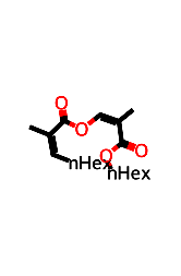 CCCCCCC=C(C)C(=O)OC=C(C)C(=O)OCCCCCC